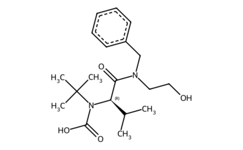 CC(C)[C@H](C(=O)N(CCO)Cc1ccccc1)N(C(=O)O)C(C)(C)C